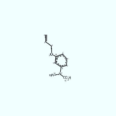 C=CCOc1cccc(N(CCC)C(=O)O)c1